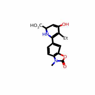 CCC1=C(c2ccc3c(c2)oc(=O)n3C)NC(C(=O)O)C=C1O